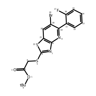 CC(C)(C)OC(=O)CSc1nc2nc(-c3ccccc3F)c(Br)cc2s1